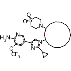 Nc1ncc(-c2cn(C34CCCCCCCCCCCC(N5CCS(=O)(=O)CC5)(C3)C4)c(C3CC3)n2)cc1OC(F)(F)F